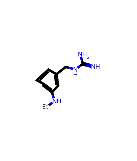 CCNc1cccc(CNC(=N)N)c1